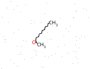 CCCCCCCCCCC1OC1C